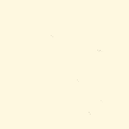 COc1ccc2c(c1)c1c(-c3ccc4c5ccccc5n(-c5ccccc5)c4c3)cccc1n2-c1ccc(C#N)c(C#N)c1